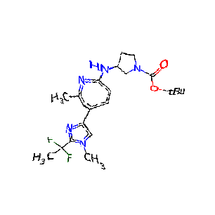 Cc1nc(N[C@H]2CCN(C(=O)OC(C)(C)C)C2)ccc1-c1cn(C)c(C(C)(F)F)n1